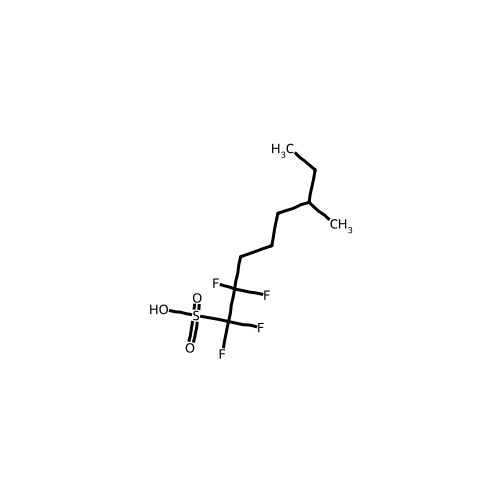 CCC(C)CCCC(F)(F)C(F)(F)S(=O)(=O)O